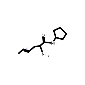 C/C=C/CC(N)C(=O)NC1CCCC1